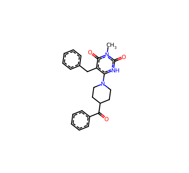 Cn1c(=O)[nH]c(N2CCC(C(=O)c3ccccc3)CC2)c(Cc2ccccc2)c1=O